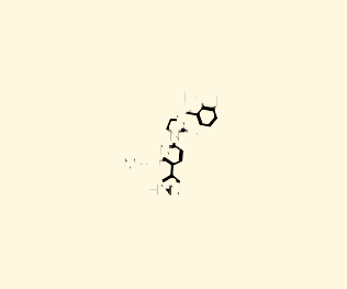 COc1nc(N2CCN(Cc3cccc(F)c3C)C2=O)ccc1-c1cn[nH]c1